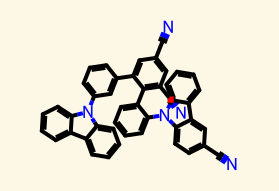 N#Cc1cc(C#N)c(-c2ccccc2-n2c3ccccc3c3cc(C#N)ccc32)c(-c2cccc(-n3c4ccccc4c4ccccc43)c2)c1